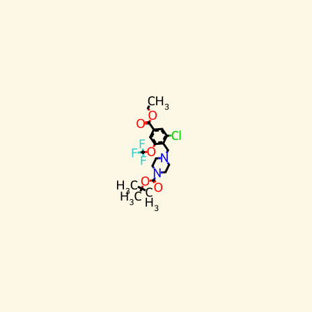 CCOC(=O)c1cc(Cl)c(CN2CCN(C(=O)OC(C)(C)C)CC2)c(OC(F)(F)F)c1